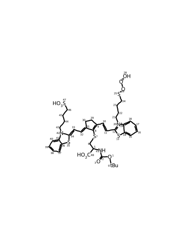 CC(C)(C)OC(=O)NC(CSC1=C(/C=C/c2sc3ccccc3[n+]2CCCCSOOO)CC/C1=C\C=C1/Sc2ccccc2N1CCCCS(=O)(=O)O)C(=O)O